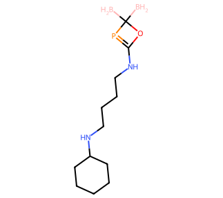 BC1(B)OC(NCCCCNC2CCCCC2)=P1